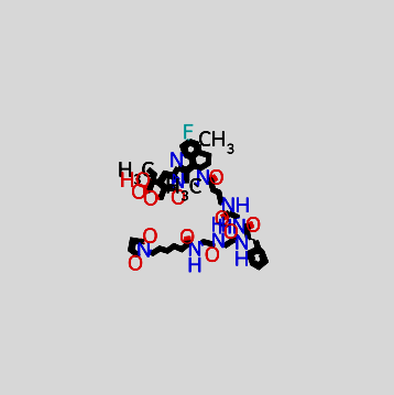 CC[C@@]1(O)C(=O)OCc2c1cc1n(c2=O)Cc2c-1nc1cc(F)c(C)c3c1c2[C@@H](N(C)C(=O)CCCNC(=O)CNC(=O)[C@H](Cc1ccccc1)NC(=O)CNC(=O)CNC(=O)CCCCCN1C(=O)C=CC1=O)CC3